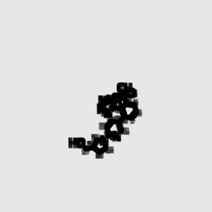 CS(=O)(=O)c1cccc(-c2ccc(N3CCC(CO)C3)nc2)c1-c1nnn[nH]1